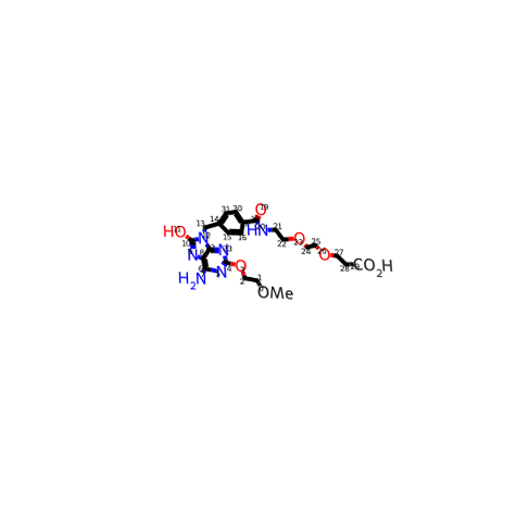 COCCOc1nc(N)c2nc(O)n(Cc3ccc(C(=O)NCCOCCOCCC(=O)O)cc3)c2n1